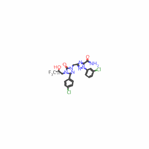 NC(=O)c1nc(Cn2nc(-c3ccc(Cl)cc3)n(C[C@H](O)C(F)(F)F)c2=O)nn1-c1cccc(Cl)c1